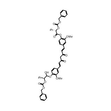 COc1cc(/C=C/C(=O)CC(=O)/C=C/c2ccc(OC(O)[C@@H](OC(=O)OCc3ccccc3)C(C)C)c(OC)c2)ccc1OC(=O)[C@@H](OC(=O)OCc1ccccc1)C(C)C